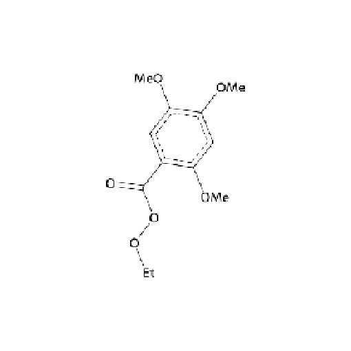 [CH2]COOC(=O)c1cc(OC)c(OC)cc1OC